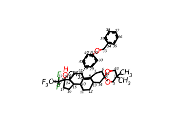 CC1(C)COC2(CCC3=C4C(CCC3C2)C2CC[C@@](O)(C(F)(F)C(F)(F)F)C2(C)C[C@@H]4c2ccc(OCc3ccccc3)cc2)OC1